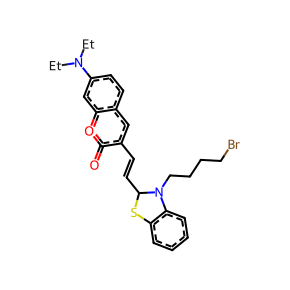 CCN(CC)c1ccc2cc(C=CC3Sc4ccccc4N3CCCCBr)c(=O)oc2c1